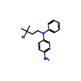 CCC(C)(C)CCN(c1ccccc1)c1ccc(N)cc1